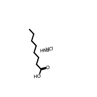 CCCCCCCC(=O)O.Cl.[NaH]